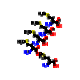 CSCCC(N)C(=O)O.CSCCC(N)C(=O)O.CSCCC(N)C(=O)O.CSCCC(N)C(=O)O.CSCCC(N)C(=O)O